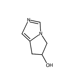 OC1Cc2cncn2C1